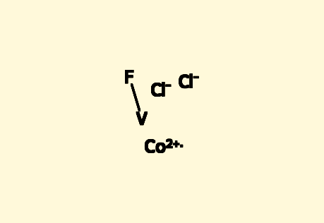 [Cl-].[Cl-].[Co+2].[F][V]